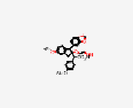 CCCOc1ccc2c(c1)CC(OCCO)(C(C(=O)O)c1ccc(OC)cc1)C2c1ccc2c(c1)OCO2